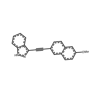 COc1ccc2cc(C#Cc3n[nH]c4ccccc34)ccc2c1